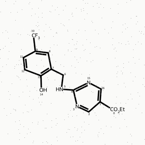 CCOC(=O)c1cnc(NCc2cc(C(F)(F)F)ccc2O)nc1